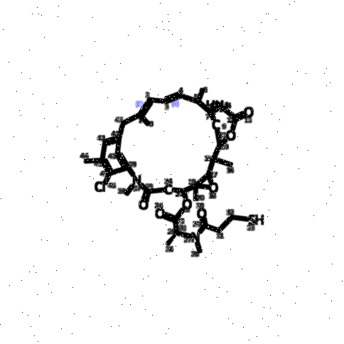 C/C1=C\C=C\C(C)C2(O)CC(OC(=O)N2)C(C)C2OC2(C)C(OC(=O)[C@H](C)N(C)C(=O)CCS)CC(=O)N(C)c2cc(cc(C)c2Cl)C1